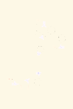 O=C1CCC(N2Cc3c(NCCCCCCCC(=O)Nc4cccc(-c5ccc6c(c5)[C@H]5[C@H](CCN5Cc5ccncc5)[C@@H](CO)N6)c4)cccc3C2=O)C(=O)N1